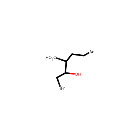 CC(=O)CCC(C(=O)O)C(O)CC(C)C